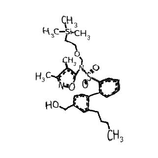 CCCCc1cc(CO)ccc1-c1ccccc1S(=O)(=O)N(COCC[Si](C)(C)C)c1onc(C)c1C